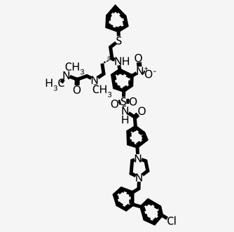 CN(CC[C@H](CSc1ccccc1)Nc1ccc(S(=O)(=O)NC(=O)c2ccc(N3CCN(Cc4ccccc4-c4ccc(Cl)cc4)CC3)cc2)cc1[N+](=O)[O-])CC(=O)N(C)C